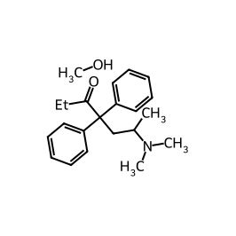 CCC(=O)C(CC(C)N(C)C)(c1ccccc1)c1ccccc1.CO